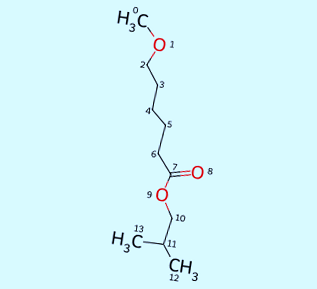 COCCCCCC(=O)OCC(C)C